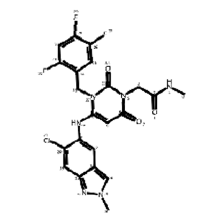 CNC(=O)Cn1c(=O)cc(Nc2cc3cn(C)nc3cc2Cl)n(Cc2cc(F)c(F)cc2F)c1=O